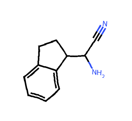 N#CC(N)C1CCc2ccccc21